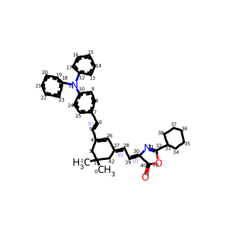 CC1(C)CC(/C=C/c2ccc(N(c3ccccc3)c3ccccc3)cc2)=CC(=C/C=C2\N=C(C3CCCCC3)OC2=O)/C1